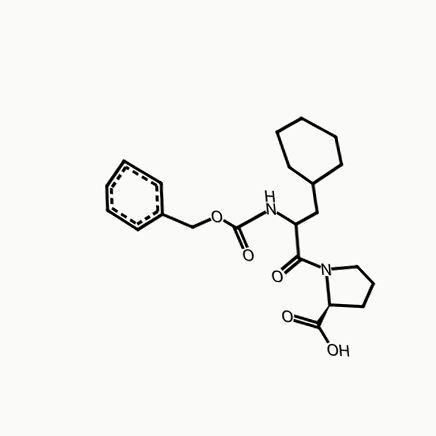 O=C(NC(CC1CCCCC1)C(=O)N1CCC[C@H]1C(=O)O)OCc1ccccc1